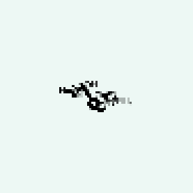 CC(O)(C#Cc1ccc2c(c1)N(c1nc(N)ncc1Cl)CC2)c1ncc(C#N)s1